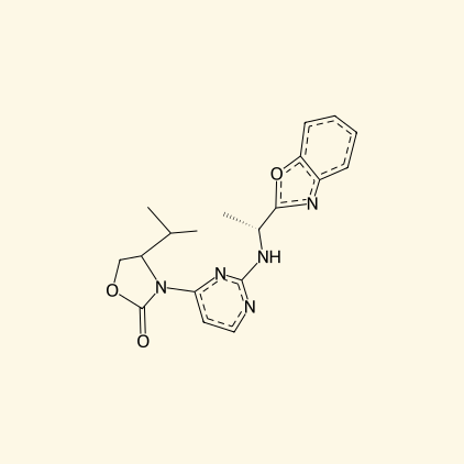 CC(C)C1COC(=O)N1c1ccnc(N[C@H](C)c2nc3ccccc3o2)n1